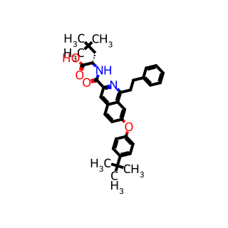 CC(C)(C)C[C@H](NC(=O)c1cc2ccc(Oc3ccc(C(C)(C)C)cc3)cc2c(CCc2ccccc2)n1)C(=O)O